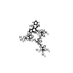 CC1(C)O[C@@H]2[C@H](O1)[C@@H](CSCP(=O)(OCOC(=O)C(C)(C)C)OCOC(=O)C(C)(C)C)O[C@H]2n1ccc2c(NC3CCCC3)c(C#N)c(Cl)nc21